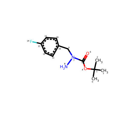 CC(C)(C)OC(=O)N(N)Cc1ccc(F)cc1